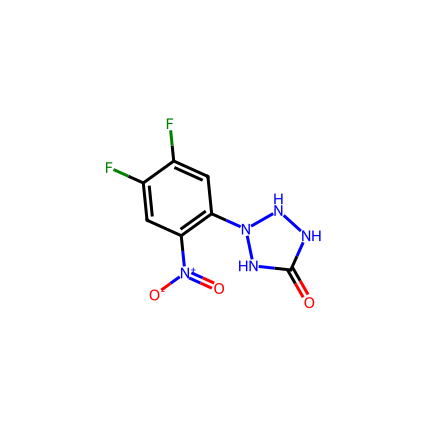 O=C1NNN(c2cc(F)c(F)cc2[N+](=O)[O-])N1